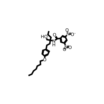 CCCCCCCOc1ccc(CCC(CO)(CCC)NC(=O)c2cc([N+](=O)[O-])cc([N+](=O)[O-])c2)cc1